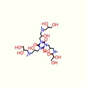 CN(CC(O)CO)CC(O)Cn1c(=O)n(CC(O)CN(C)CC(O)CO)c(=O)n(CC(O)CN(C)C(=O)C(O)CO)c1=O